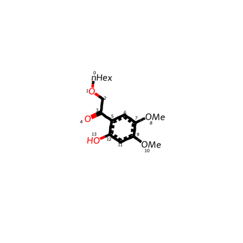 CCCCCCOCC(=O)c1cc(OC)c(OC)cc1O